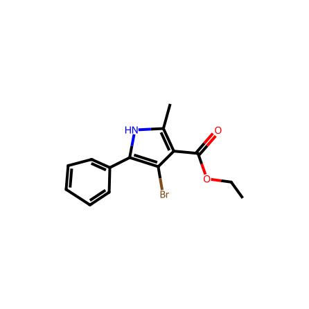 CCOC(=O)c1c(C)[nH]c(-c2ccccc2)c1Br